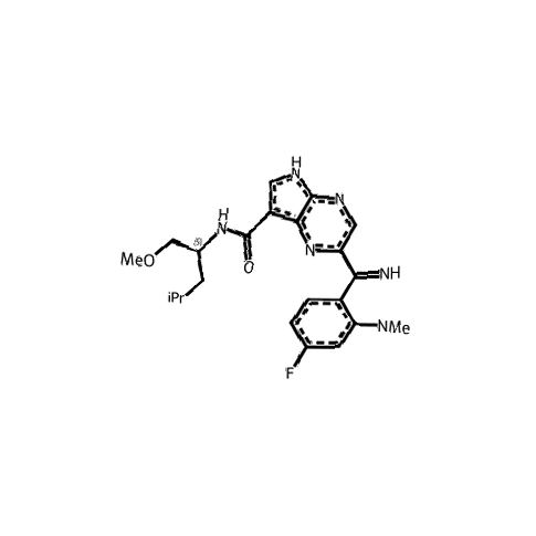 CNc1cc(F)ccc1C(=N)c1cnc2[nH]cc(C(=O)N[C@H](COC)CC(C)C)c2n1